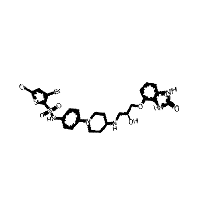 O=c1[nH]c2cccc(OC[C@@H](O)CNC3CCN(c4ccc(NS(=O)(=O)c5sc(Cl)cc5Br)cc4)CC3)c2[nH]1